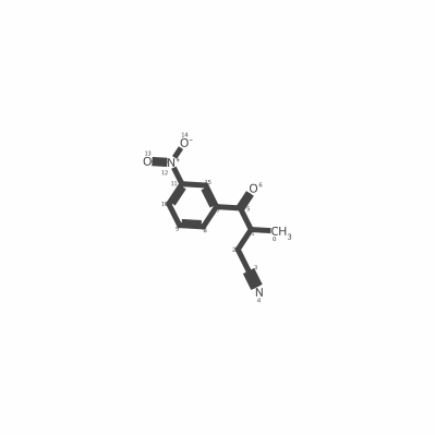 CC(CC#N)C(=O)c1cccc([N+](=O)[O-])c1